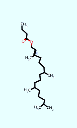 CCCC(=O)OC/C=C(\C)CCCC(C)CCCC(C)CCCC(C)C